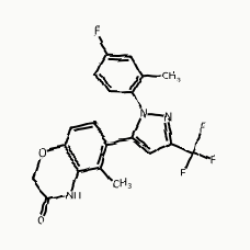 Cc1cc(F)ccc1-n1nc(C(F)(F)F)cc1-c1ccc2c(c1C)NC(=O)CO2